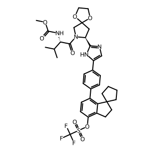 COC(=O)N[C@H](C(=O)N1CC2(C[C@H]1c1ncc(-c3ccc(-c4ccc(OS(=O)(=O)C(F)(F)F)c5c4C4(CCCC4)CC5)cc3)[nH]1)OCCO2)C(C)C